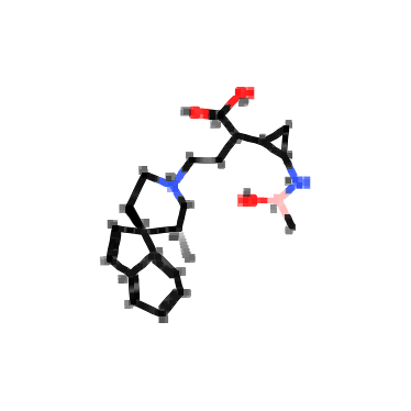 CB(O)NC1CC1C(CCN1CC[C@@]2(C=Cc3ccccc32)[C@@H](C)C1)C(=O)O